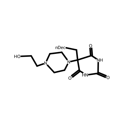 CCCCCCCCCCCC1(N2CCN(CCO)CC2)C(=O)NC(=O)NC1=O